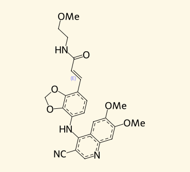 COCCNC(=O)/C=C/c1ccc(Nc2c(C#N)cnc3cc(OC)c(OC)cc23)c2c1OCO2